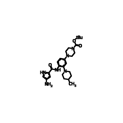 CC1CCN(c2cc(N3CCN(C(=O)OC(C)(C)C)CC3)ccc2NC(=O)c2cc(N)c[nH]2)CC1